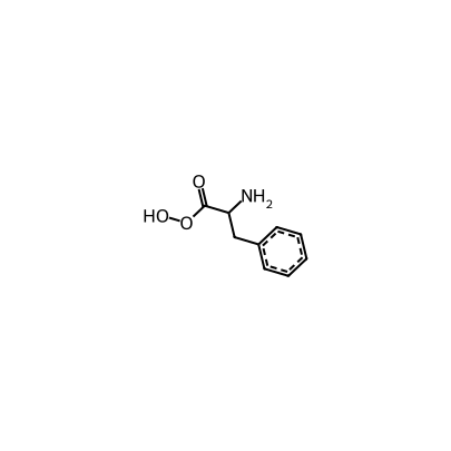 NC(Cc1ccccc1)C(=O)OO